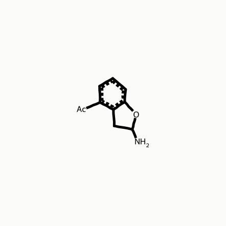 CC(=O)c1cccc2c1CC(N)O2